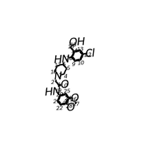 O=C(CN1CCC(Nc2ccc(Cl)cc2CO)CC1)Nc1ccc2c(c1)OCO2